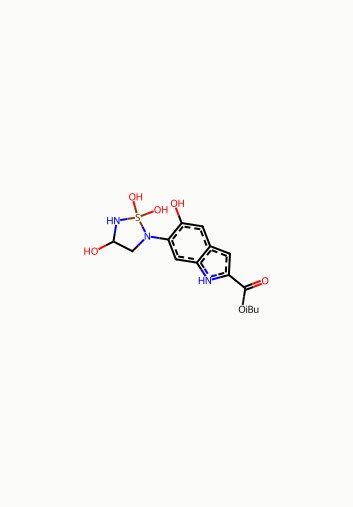 CC(C)COC(=O)c1cc2cc(O)c(N3CC(O)NS3(O)O)cc2[nH]1